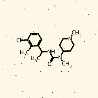 Cc1c(Cl)cccc1C(C)NC(=O)N(C)C1CCN(C)CC1